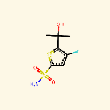 CC(C)(O)c1sc(S(N)(=O)=O)cc1F